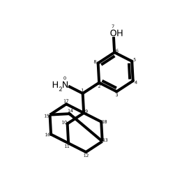 NC(c1cccc(O)c1)C12CC3CC(CC(C3)C1)C2